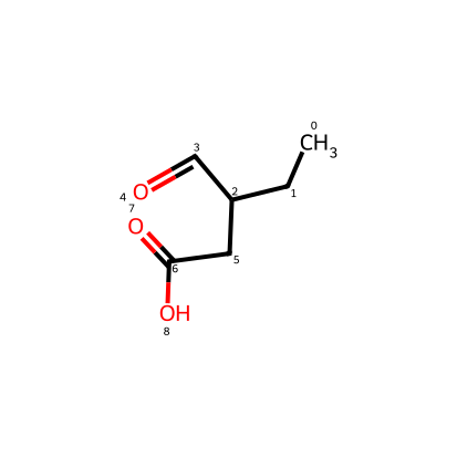 CCC(C=O)CC(=O)O